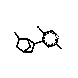 CC1CC2CC(c3cc(F)ncc3F)C1C2